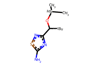 C[SiH](C)OC(c1nsc(N)n1)C(C)(C)C